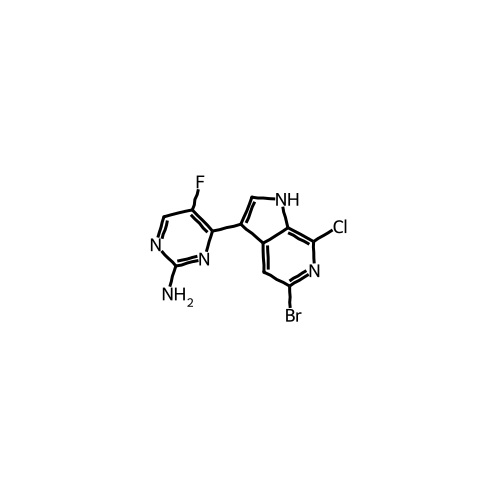 Nc1ncc(F)c(-c2c[nH]c3c(Cl)nc(Br)cc23)n1